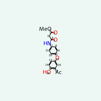 COC(=O)CC(=O)Nc1ccc(Oc2ccc(O)c(C(C)=O)c2)cc1